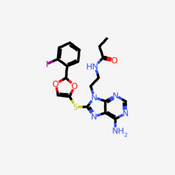 CCC(=O)NCCn1c(SC2=COC(c3ccccc3I)O2)nc2c(N)ncnc21